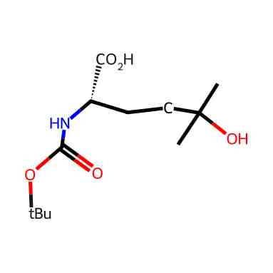 CC(C)(O)CC[C@H](NC(=O)OC(C)(C)C)C(=O)O